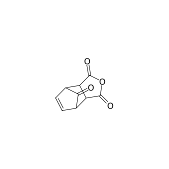 O=C1C2C=CC1C1C(=O)OC(=O)C21